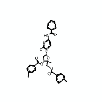 Cc1ccc(C(=O)OC[C@@]2(C)O[C@@H](n3ccc(NC(=O)c4ccccc4)nc3=O)C[C@@H]2OC(=O)c2ccc(C)cc2)cc1